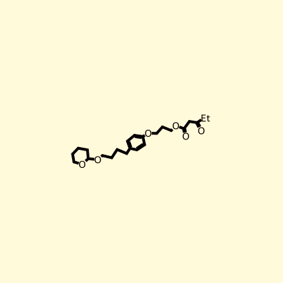 CCC(=O)CC(=O)OCCCOc1ccc(CCCCOC2CCCCO2)cc1